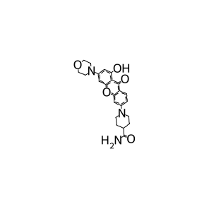 NC(=O)C1CCN(c2ccc3c(=O)c4c(O)cc(N5CCOCC5)cc4oc3c2)CC1